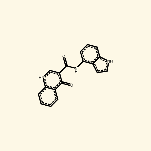 O=C(Nc1cccc2[nH]ccc12)c1c[nH]c2ccccc2c1=O